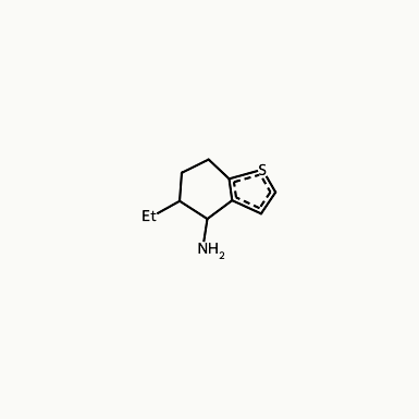 CCC1CCc2sccc2C1N